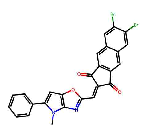 Cn1c(-c2ccccc2)cc2oc(C=C3C(=O)c4cc5cc(Br)c(Br)cc5cc4C3=O)nc21